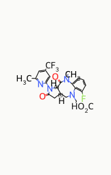 Cc1cc(C(F)(F)F)cc(N2C(=O)C[C@@H]3CN(CC(=O)O)c4c(F)cccc4N(C)C(=O)[C@H]32)n1